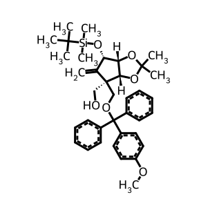 C=C1[C@H](O[Si](C)(C)C(C)(C)C)[C@@H]2OC(C)(C)O[C@@H]2[C@@]1(CO)COC(c1ccccc1)(c1ccccc1)c1ccc(OC)cc1